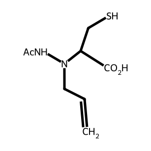 C=CCN(NC(C)=O)C(CS)C(=O)O